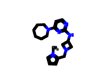 Cn1cccc1CN1CC(Nc2nccc(N3CCCCCC3)n2)C1